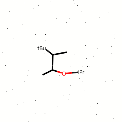 CC(C)OC(C)C(C)C(C)(C)C